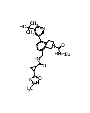 Cc1noc(C2CC2C(=O)NCc2ccc(-c3cncc(C(C)(C)O)c3)c3c2CN(C(=O)NC(C)(C)C)CC3)n1